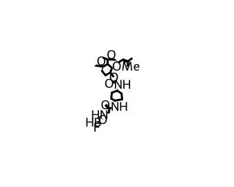 COC1C(OC(=O)N[C@H]2CC[C@H](NC(=O)CNOBF)CC2)CC[C@]2(CO2)C1C1(C)O[C@@H]1CC=C(C)C